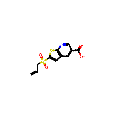 C=CCS(=O)(=O)c1cc2cc(C(=O)O)cnc2s1